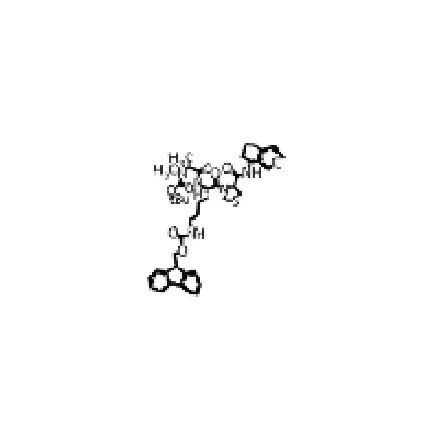 CC(C(=O)N[C@@H](CCCCNC(=O)OCC1c2ccccc2-c2ccccc21)C(=O)N1CSCC1C(=O)N[C@H]1CCCc2ccccc21)N(C)C(=O)OC(C)(C)C